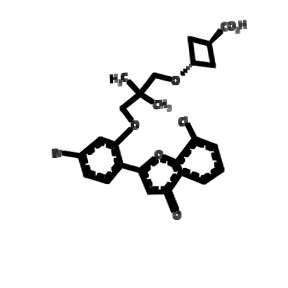 CC(C)(COc1cc(Br)ccc1-c1cc(=O)c2cccc(Cl)c2o1)CO[C@H]1C[C@H](C(=O)O)C1